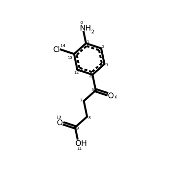 Nc1ccc(C(=O)CCC(=O)O)cc1Cl